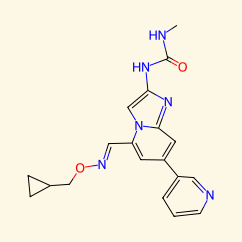 CNC(=O)Nc1cn2c(/C=N/OCC3CC3)cc(-c3cccnc3)cc2n1